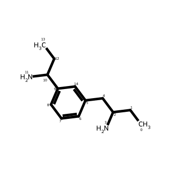 CCC(N)Cc1cccc(C(N)CC)c1